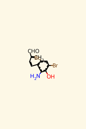 C=C(C=O)/C=C\c1c(Br)cc(Br)c(O)c1N